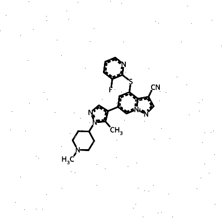 Cc1c(-c2cc(Sc3ncccc3F)c3c(C#N)cnn3c2)cnn1C1CCN(C)CC1